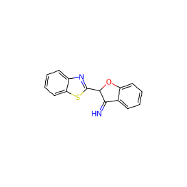 N=C1c2ccccc2OC1c1nc2ccccc2s1